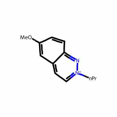 CCC[n+]1ccc2cc(OC)ccc2n1